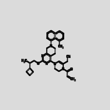 C=CC(=O)N1CCN(c2nc(OCC(C)C3CCC3)nc3c2CCN(c2cccc4cccc(C)c24)C3)C=C1CC#N